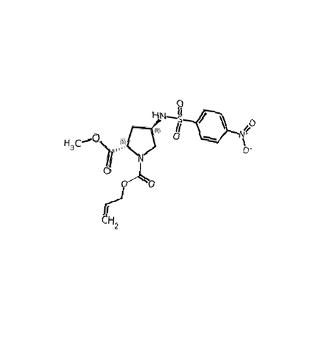 C=CCOC(=O)N1C[C@H](NS(=O)(=O)c2ccc([N+](=O)[O-])cc2)C[C@H]1C(=O)OC